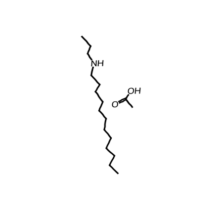 CC(=O)O.CCCCCCCCCCCCNCCC